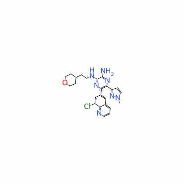 Cn1ccc(-c2nc(N)c(NCCC3CCOCC3)nc2-c2cc(Cl)c3ncccc3c2)n1